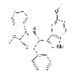 COC(=O)[C@@H](NC(Cc1ccccc1)c1c[nH]c2ccc(OC)cc12)c1ccccc1